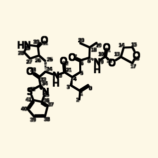 C=C(C)C[C@H](CC(=O)[C@@H](NC(=O)OC1CCOC1)C(C)C)C(=O)N[C@@H](CC1CCNC1=O)C(=O)c1nc2ccccc2s1